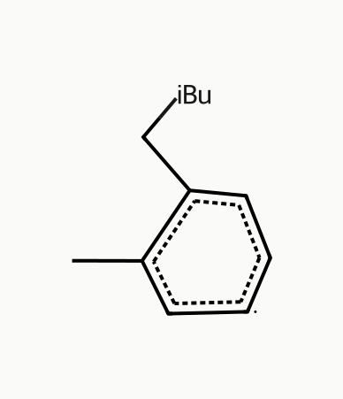 CCC(C)Cc1cc[c]cc1C